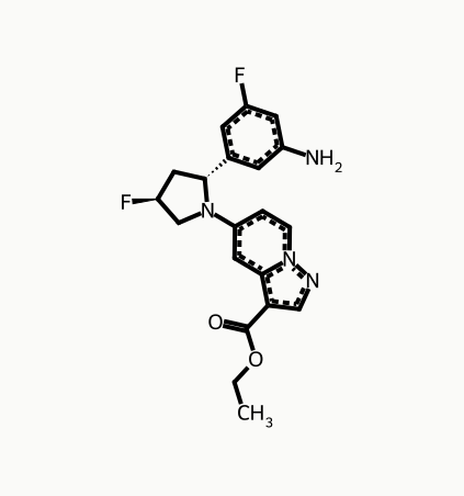 CCOC(=O)c1cnn2ccc(N3C[C@@H](F)C[C@@H]3c3cc(N)cc(F)c3)cc12